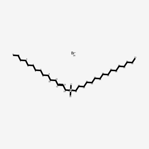 CCCCCCCCCCCCC=CC[N+](C)(C)CCCCCCCCCCCCCCCC.[Br-]